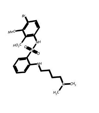 COc1c(Br)ccc(NS(=O)(=O)c2ccccc2NCCCCN(C)C)c1C(=O)O